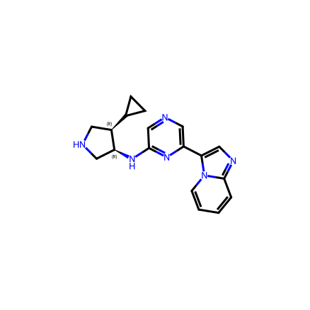 c1ccn2c(-c3cncc(N[C@H]4CNC[C@H]4C4CC4)n3)cnc2c1